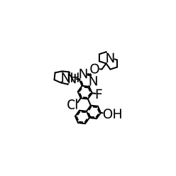 Oc1cc(-c2c(Cl)cc3c(N4CC5CCC(C4)N5)nc(OCC45CCCN4CCC5)nc3c2F)c2ccccc2c1